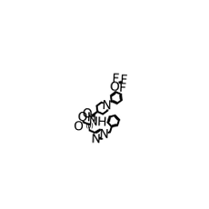 O=C(N[C@@H](Cc1cn(Cc2ccccc2)cn1)C(=O)O)C1CCN(c2cccc(OC(F)(F)F)c2)CC1